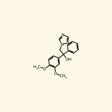 COc1ccc(C(O)(Cn2cncn2)c2ccccc2)cc1OC